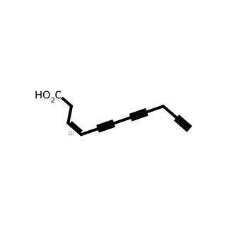 C#CCC#CC#C/C=C\CC(=O)O